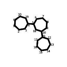 [CH]1CCCC(C2CCCCC(C3[CH]CCCCC3)C2)CC1